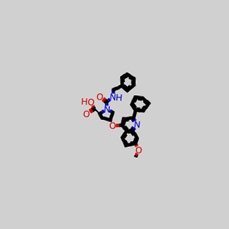 COc1ccc2c(O[C@@H]3C[C@@H](C(=O)O)N(C(=O)NCc4ccccc4)C3)cc(-c3ccccc3)nc2c1